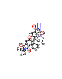 C=CC1=C(/C=C\C)C2(c3cc4c(cc3Oc3cc5c(cc32)C(=O)N(C(C)(C)CC)C5=O)C(=O)NC4=O)c2ccccc21